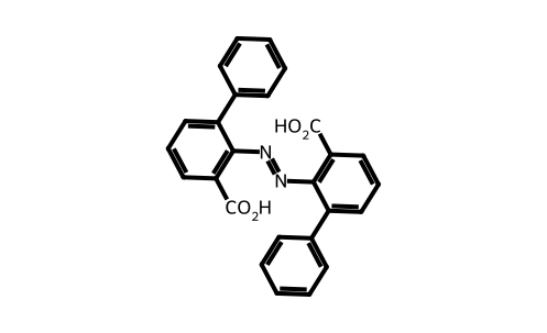 O=C(O)c1cccc(-c2ccccc2)c1N=Nc1c(C(=O)O)cccc1-c1ccccc1